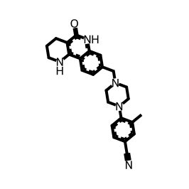 Cc1cc(C#N)ccc1N1CCN(Cc2ccc3c4c(c(=O)[nH]c3c2)CCCN4)CC1